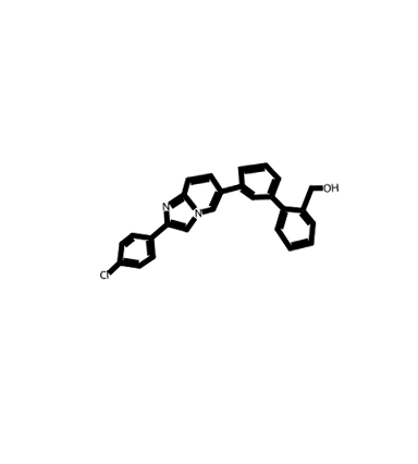 OCc1ccccc1-c1cccc(-c2ccc3nc(-c4ccc(Cl)cc4)cn3c2)c1